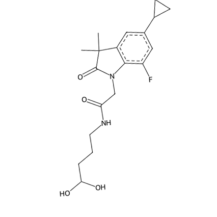 CC1(C)C(=O)N(CC(=O)NCCCC(O)O)c2c(F)cc(C3CC3)cc21